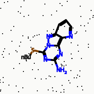 CCCCSc1nc(N)nc2c3ncccc3nn12